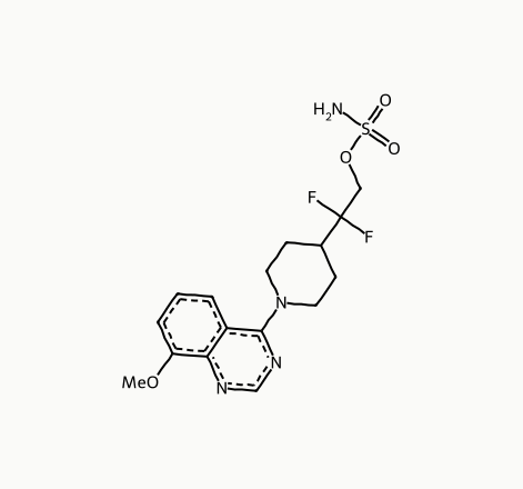 COc1cccc2c(N3CCC(C(F)(F)COS(N)(=O)=O)CC3)ncnc12